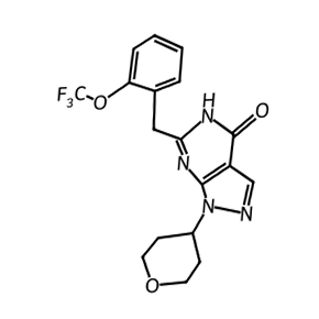 O=c1[nH]c(Cc2ccccc2OC(F)(F)F)nc2c1cnn2C1CCOCC1